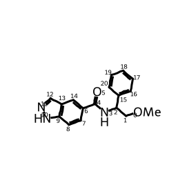 COCC(NC(=O)c1ccc2[nH]ncc2c1)c1ccccc1